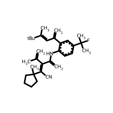 C=C(C)/C(C(=C)Nc1ccc(C(C)(C)F)cc1C(=C)/C=C(\C)C(C)(C)C)=C(/C#N)C1(C)CCCC1